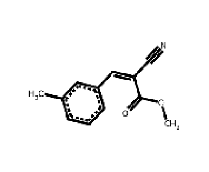 COC(=O)C(C#N)=Cc1cccc(C)c1